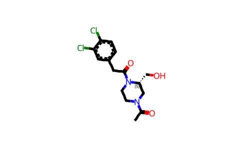 CC(=O)N1CCN(C(=O)Cc2ccc(Cl)c(Cl)c2)[C@H](CO)C1